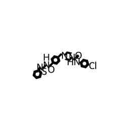 O=C(Nc1nc2ccccc2s1)c1ccc(CN2CCN(C(=O)Nc3ccc(Cl)cc3)CC2)cc1